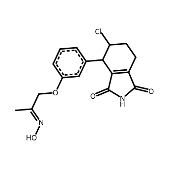 CC(COc1cccc(C2C3=C(CCC2Cl)C(=O)NC3=O)c1)=NO